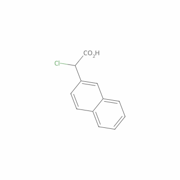 O=C(O)C(Cl)c1ccc2ccccc2c1